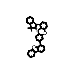 CC1(C)C2=C(c3ccccc31)c1cccc3c1B2c1ccc(-c2cccc4c2oc2ccccc24)cc1O3